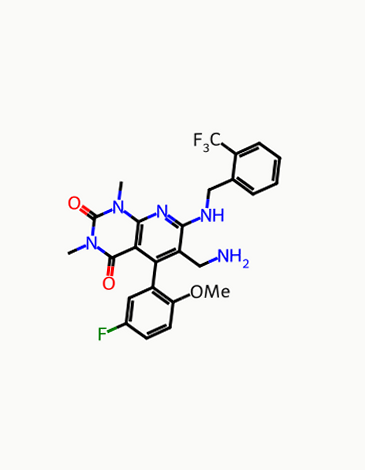 COc1ccc(F)cc1-c1c(CN)c(NCc2ccccc2C(F)(F)F)nc2c1c(=O)n(C)c(=O)n2C